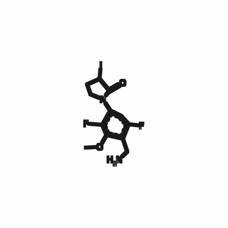 COc1c(F)c(N2CCC(I)C2=O)cc(F)c1CN